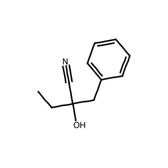 CCC(O)(C#N)Cc1ccccc1